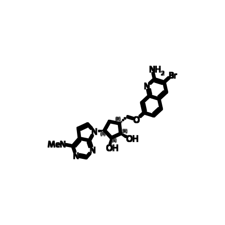 CNc1ncnc2c1ccn2[C@@H]1C[C@H](COc2ccc3cc(Br)c(N)nc3c2)[C@@H](O)[C@H]1O